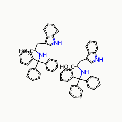 O=C(O)C(Cc1c[nH]c2ccccc12)NC(c1ccccc1)(c1ccccc1)c1ccccc1.O=C(O)[C@H](Cc1c[nH]c2ccccc12)NC(c1ccccc1)(c1ccccc1)c1ccccc1